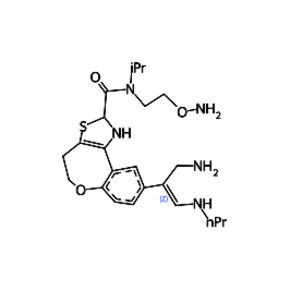 CCCN/C=C(\CN)c1ccc2c(c1)C1=C(CCO2)SC(C(=O)N(CCON)C(C)C)N1